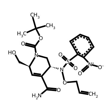 C=CCON([C@H]1CN(C(=O)OC(C)(C)C)[C@H](CO)C=C1C(N)=O)S(=O)(=O)c1ccccc1[N+](=O)[O-]